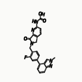 Cn1cc2c(-c3ccc(CN4Cc5ccc(NC(=O)O)nc5C4=O)c(F)c3)cccc2n1